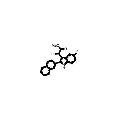 CCC(C(=O)OC)c1c(-c2ccc3ccccc3c2)[nH]c2ccc(Cl)cc12